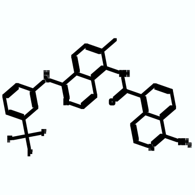 Cc1ccc2c(Nc3cccc(C(F)(F)F)c3)nccc2c1NC(=O)c1cccc2c(N)nccc12